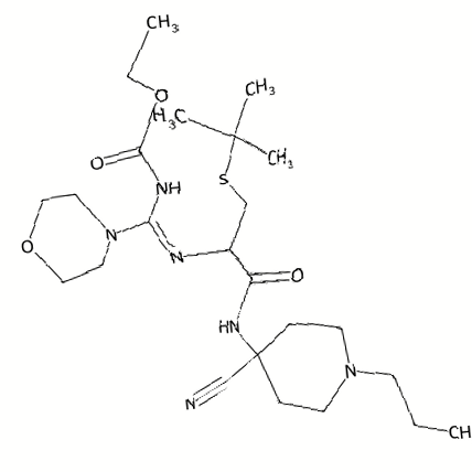 CCCN1CCC(C#N)(NC(=O)C(CSC(C)(C)C)N=C(NC(=O)OCC)N2CCOCC2)CC1